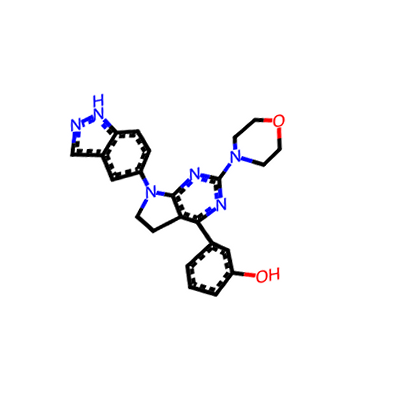 Oc1cccc(-c2nc(N3CCOCC3)nc3c2CCN3c2ccc3[nH]ncc3c2)c1